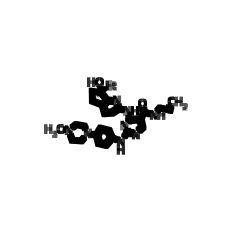 C=CCNC(=O)c1cnc(Nc2ccc(N3CCN(C)CC3)cc2)nc1Nc1ccc2c(n1)[C@](O)(CC)CC2